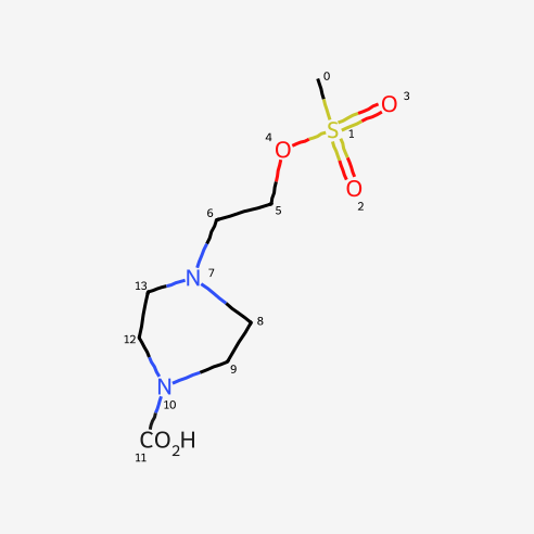 CS(=O)(=O)OCCN1CCN(C(=O)O)CC1